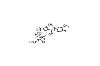 CCC1[C@H]2C[S+]([O-])c3c(cn(C)c3C(=O)Nc3ccc(F)c(C)c3)S(=O)(=O)N[C@H]2CN1C(=O)O